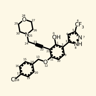 Oc1c(-c2cc(C(F)(F)F)n[nH]2)ccc(OCc2ccc(Cl)cc2)c1C#CCN1CCOCC1